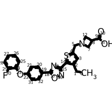 CCc1cc(CN2CC(C(=O)O)C2)sc1-c1noc(-c2ccc(Oc3ccccc3F)cc2)n1